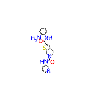 Nc1ccccc1NC(=O)c1cc2c(s1)CN(C(=O)Nc1cccnc1)CC2